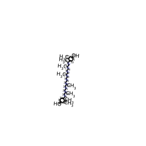 CC(/C=C/C=C(C)/C=C/C1=CC[C@@H](O)CC1(C)C)=C\C=C\C=C(C)\C=C\C=C(C)\C=C\C1=CC[C@H](O)CC1(C)C